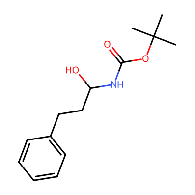 CC(C)(C)OC(=O)NC(O)CCc1ccccc1